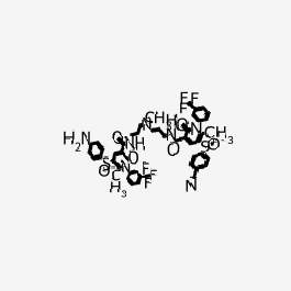 Cc1c([S+]([O-])c2ccc(N)cc2)cc(C(=O)NCCCN(C)CCCNC(=O)c2cc([S+]([O-])c3ccc(C#N)cc3)c(C)n(-c3cccc(C(F)(F)F)c3)c2=O)c(=O)n1-c1cccc(C(F)(F)F)c1